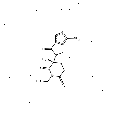 C[C@@]1(N2Cc3c(csc3N)C2=O)CCC(=O)N(CO)C1=O